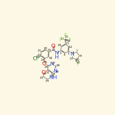 O=C(Nc1cc(N2CC[C@H](F)C2)cc(C(F)(F)F)c1)c1ccc(Cl)c(Oc2ncnc3c2OCCN3)c1